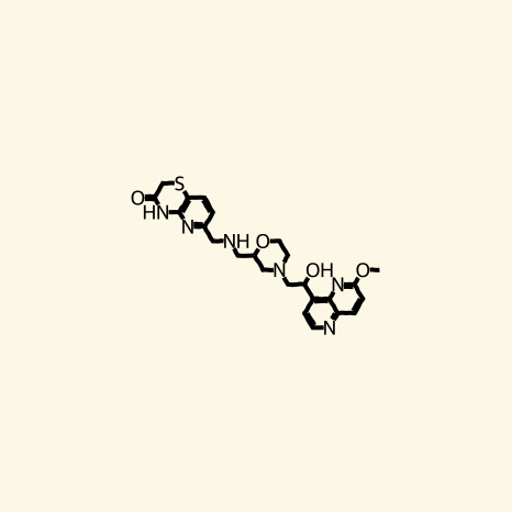 COc1ccc2nccc(C(O)CN3CCOC(CNCc4ccc5c(n4)NC(=O)CS5)C3)c2n1